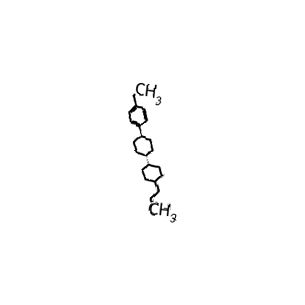 CCCC1CCC([C@H]2CC[C@H](c3ccc(CC)cc3)CC2)CC1